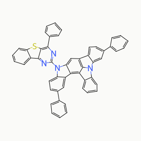 c1ccc(-c2ccc3c(c2)c2c4c5ccccc5n5c6cc(-c7ccccc7)ccc6c(cc2n3-c2nc(-c3ccccc3)c3sc6ccccc6c3n2)c45)cc1